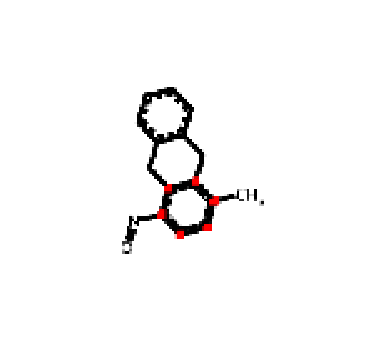 Cc1ccc(N=O)c2c1C1c3ccccc3C2c2ccccc21